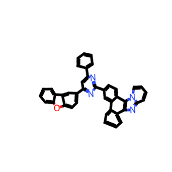 c1ccc(-c2cc(-c3ccc4oc5ccccc5c4c3)nc(-c3ccc4c(c3)c3ccccc3c3nc5ccccn5c43)n2)cc1